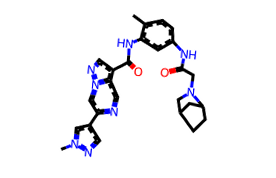 Cc1ccc(NC(=O)CN2CC3CCC2C3)cc1NC(=O)c1cnn2cc(-c3cnn(C)c3)ncc12